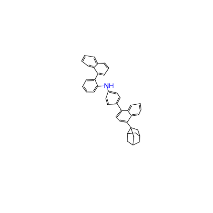 c1ccc(-c2cccc3ccccc23)c(Nc2ccc(-c3ccc(C45CC6CC(CC4C6)C5)c4ccccc34)cc2)c1